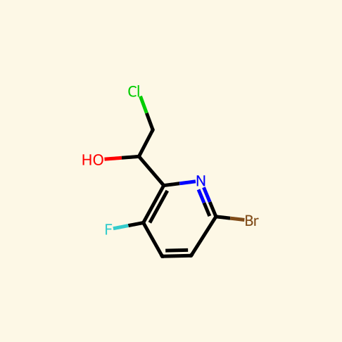 OC(CCl)c1nc(Br)ccc1F